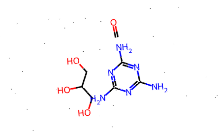 C=O.Nc1nc(N)nc(N)n1.OCC(O)CO